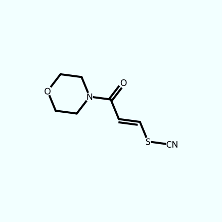 N#CS/C=C/C(=O)N1CCOCC1